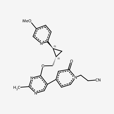 COc1ccc([C@H]2C[C@@H]2COc2nc(C)ncc2-c2ccn(CCC#N)c(=O)c2)nc1